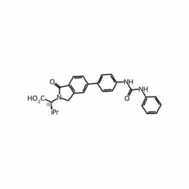 CC(C)[C@@H](C(=O)O)N1Cc2cc(-c3ccc(NC(=O)Nc4ccccc4)cc3)ccc2C1=O